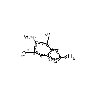 Cc1nc2c(Cl)c(N)c(Cl)cc2s1